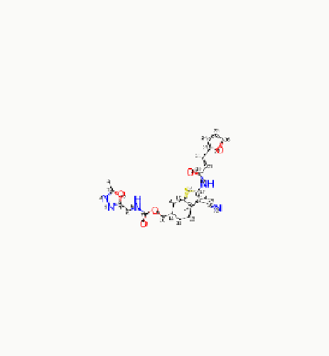 Cc1nnc(CNC(=O)OCC2CCc3c(sc(NC(=O)C=Cc4ccco4)c3C#N)C2)o1